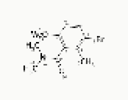 COc1ccc(Br)c(C)c1C(=O)N(C)C